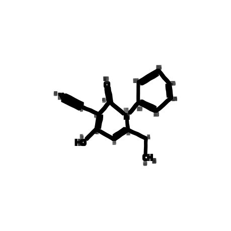 CCc1cc(O)c(C#N)c(=O)n1-c1ccccc1